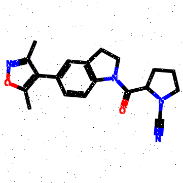 Cc1noc(C)c1-c1ccc2c(c1)CCN2C(=O)C1CCCN1C#N